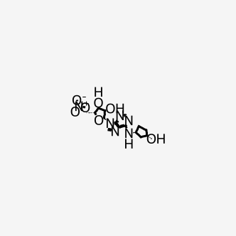 O=[N+]([O-])OC[C@H]1O[C@@H](n2cnc3c(N[C@@H]4CC[C@H](O)C4)ncnc32)[C@H](O)[C@@H]1O